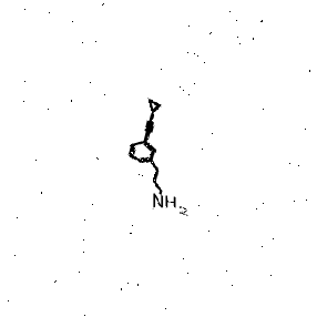 NCCCc1cccc(C#CC2CC2)c1